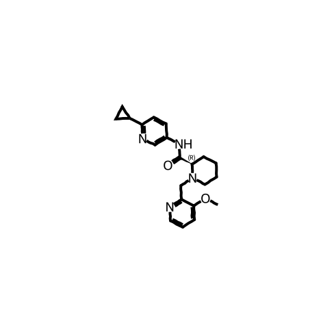 COc1cccnc1CN1CCCC[C@@H]1C(=O)Nc1ccc(C2CC2)nc1